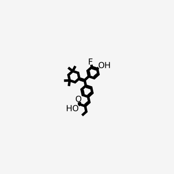 CCC(=Cc1ccc(C(=C2CC(C)(C)CC(C)(C)C2)c2ccc(O)c(F)c2)cc1)C(=O)O